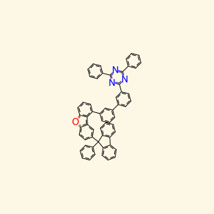 c1ccc(-c2nc(-c3ccccc3)nc(-c3cccc(-c4cccc(-c5cccc6oc7ccc(C8(c9ccccc9)c9ccccc9-c9ccccc98)cc7c56)c4)c3)n2)cc1